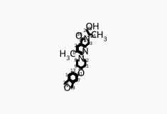 Cc1cc2c(nc1N1CCC(Oc3ccc4c(c3)COC4)CC1)CN(C(C)CO)C2=O